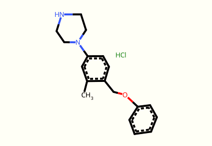 Cc1cc(N2CCNCC2)ccc1COc1ccccc1.Cl